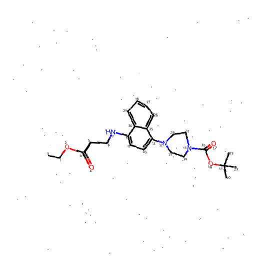 CCOC(=O)CCNc1ccc(N2CCN(C(=O)OC(C)(C)C)CC2)c2ccccc12